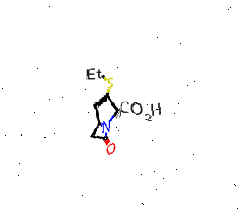 CCSC1=CC2CC(=O)N2[C@@H]1C(=O)O